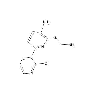 NCSc1nc(-c2cccnc2Cl)ccc1N